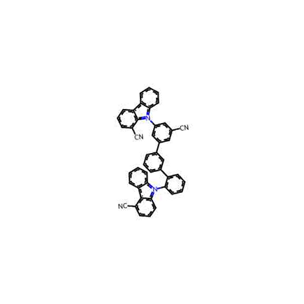 N#Cc1cc(-c2cccc(-c3ccccc3-n3c4ccccc4c4c(C#N)cccc43)c2)cc(-n2c3ccccc3c3cccc(C#N)c32)c1